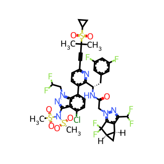 CC(C)(C#Cc1ccc(-c2ccc(Cl)c3c(N(S(C)(=O)=O)S(C)(=O)=O)nn(CC(F)F)c23)c([C@H](Cc2cc(F)cc(F)c2)NC(=O)Cn2nc(C(F)F)c3c2C(F)(F)[C@@H]2C[C@H]32)n1)S(=O)(=O)C1CC1